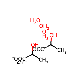 CC(O)C(=O)[O-].CC(O)C(=O)[O-].O.O.O.[Zn+2]